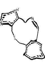 C1=Nc2[nH]cnc2Sc2ccccc21